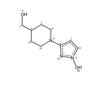 OCC1CCN(c2ccn(O)n2)CC1